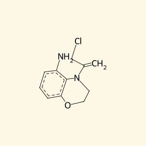 C=C(CCl)N1CCOc2cccc(N)c21